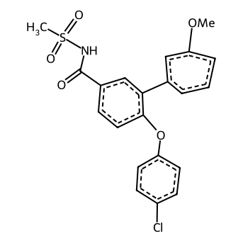 COc1cccc(-c2cc(C(=O)NS(C)(=O)=O)ccc2Oc2ccc(Cl)cc2)c1